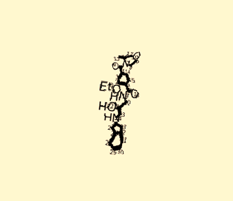 CCOc1cc(C(=O)N2CCOCC2C)ccc1C(=O)NCC(O)CNC1Cc2ccccc2C1